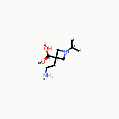 CC(C)N1CC(CCN)(C(=O)O)C1